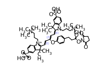 CC1(C)C(/C=C/C(=C/C=C2/N(CCC[N+](C)(C)C)c3ccc(S(=O)(=O)O)cc3C2(C)C)Oc2ccc(CCC(=O)ON3C(=O)CCC3=O)cc2)=[N+](CCC[N+](C)(C)C)c2ccc(S(=O)(=O)O)cc21